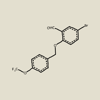 O=Cc1cc(Br)ccc1OCc1ccc(OC(F)(F)F)cc1